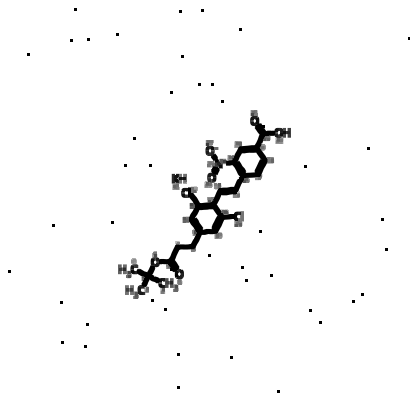 CC(C)(C)OC(=O)CCc1cc(Cl)c(/C=C/c2ccc(C(=O)O)cc2[N+](=O)[O-])c(Cl)c1.[KH]